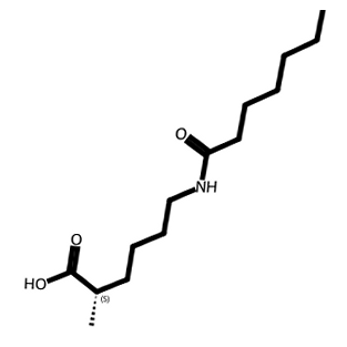 CCCCCCC(=O)NCCCC[C@H](C)C(=O)O